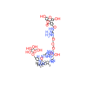 C[N+](C)(C)[C@@H](CCCCn1cc(C[C@H](NC(=O)CN(N)/C=C(\N)CN)C(O)NCCOCCOCCOCCN(N)/C=C(\N)CNC(=O)c2ccc3c(c2)C(=O)OC32c3ccc(O)cc3Oc3cc(O)ccc32)nn1)C(=O)Nc1ccc(CCO[C@@H]2O[C@H](CO)[C@@H](O)[C@H](O)[C@H]2O)cc1